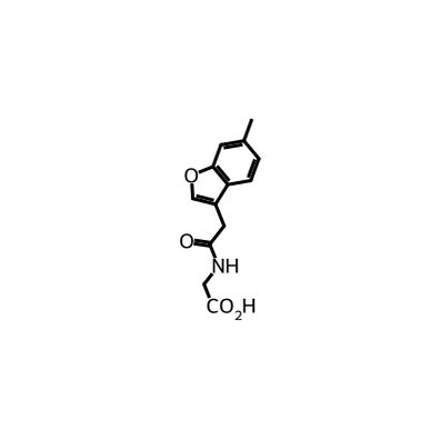 Cc1ccc2c(CC(=O)NCC(=O)O)coc2c1